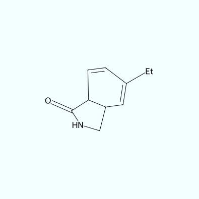 CCC1=CC2CNC(=O)C2C=C1